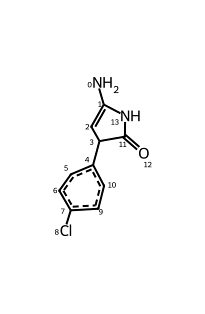 NC1=CC(c2ccc(Cl)cc2)C(=O)N1